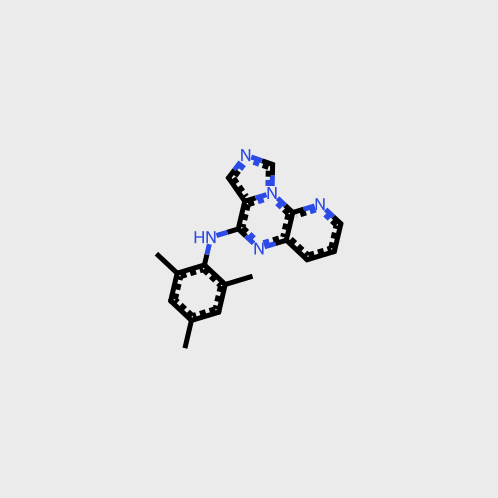 Cc1cc(C)c(Nc2nc3cccnc3n3cncc23)c(C)c1